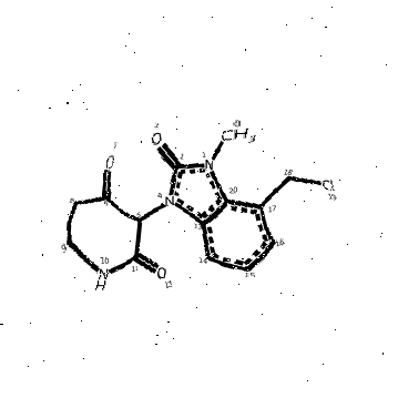 Cn1c(=O)n(C2C(=O)CCNC2=O)c2cccc(CCl)c21